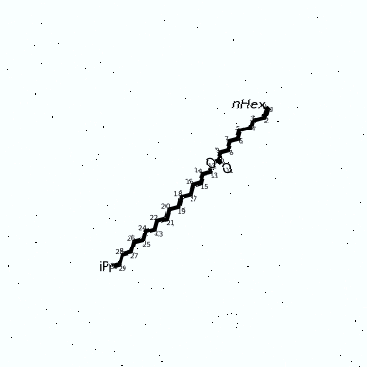 CCCCCC/C=C\CCCCCCCC(=O)OCCCCCCCCCCCCCCCCCC(C)C